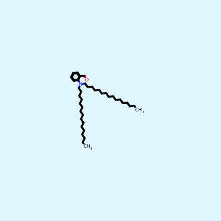 CCCCCCCCCCCCCCCCN(CCCCCCCCCCCCCCCC)c1ccccc1C=O